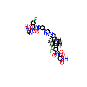 [2H]C1([2H])N(CC2CCN(c3ccc(-c4ccc5c(c4)C(=O)N(C(C(=O)Nc4nccs4)c4cc(F)ccc4O)C5)nn3)CC2)C([2H])([2H])C([2H])([2H])N(c2cc3c(c(F)c2F)C(=O)N(C2CCC(=O)NC2=O)C3=O)C1([2H])[2H]